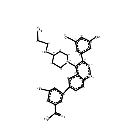 NC(=O)c1cc(F)cc(-c2ccc3nnc(-c4cc(Cl)cc(Cl)c4)c(N4CCC(NCCC(F)(F)F)CC4)c3c2)c1